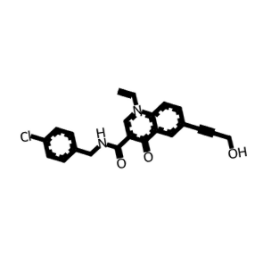 C=Cn1cc(C(=O)NCc2ccc(Cl)cc2)c(=O)c2cc(C#CCO)ccc21